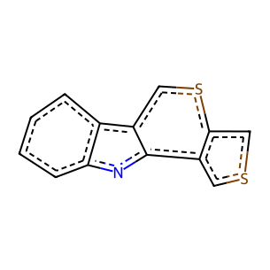 c1ccc2c3csc4cscc4c-3nc2c1